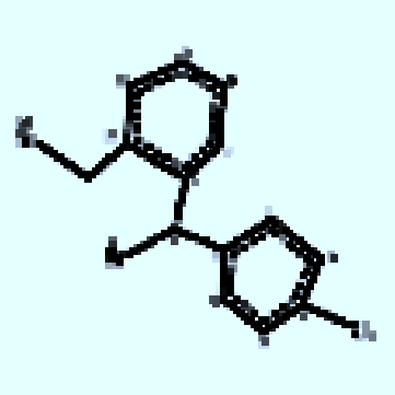 Clc1ccc(C(Br)c2ccccc2CBr)cc1